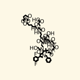 CC(=O)N[C@@H](C)C(=O)N[C@H](C)C(=O)N[C@@H](CC(=O)O)C(=O)N[C@@H](CCN(C(=O)CO)[C@@H](c1cc(-c2cc(F)ccc2F)cn1Cc1ccccc1)C(C)(C)C)C(=O)NCCNC(=O)[C@@H](CCC(=O)O)NC(=O)CCCC(=O)ON1C(=O)CCC1=O